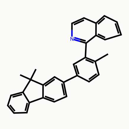 Cc1ccc(-c2ccc3c(c2)C(C)(C)c2ccccc2-3)cc1-c1nccc2ccccc12